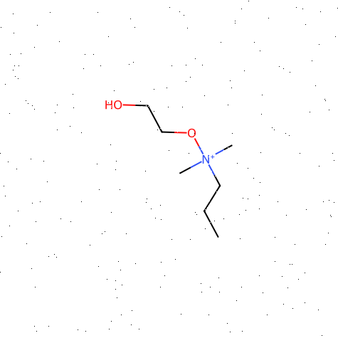 CCC[N+](C)(C)OCCO